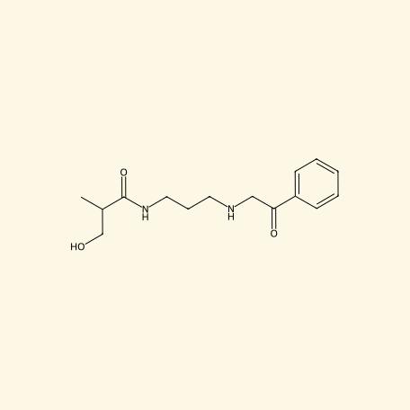 CC(CO)C(=O)NCCCNCC(=O)c1ccccc1